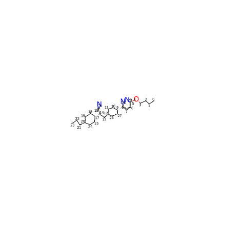 CCCCOc1ccc([C@H]2CC[C@H](CC(C#N)[C@H]3CC[C@H](CCC)CC3)CC2)nn1